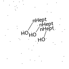 CCCCCCCO.CCCCCCCO.CCCCCCCO